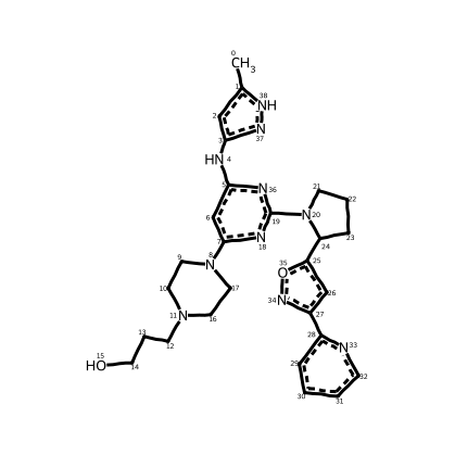 Cc1cc(Nc2cc(N3CCN(CCCO)CC3)nc(N3CCCC3c3cc(-c4ccccn4)no3)n2)n[nH]1